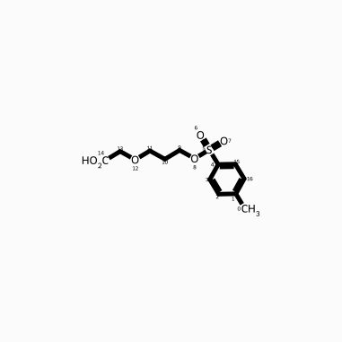 Cc1ccc(S(=O)(=O)OCCCOCC(=O)O)cc1